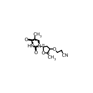 Cc1cn([C@H]2CC(OCCC#N)[C@@H](C)O2)c(=O)[nH]c1=O